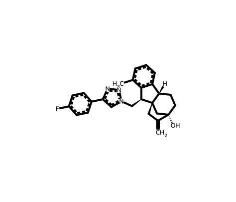 C=C1C[C@]23C[C@@]1(O)CC[C@H]2c1cccc(C)c1[C@@H]3Cn1cc(-c2ccc(F)cc2)nn1